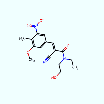 CCN(CCO)C(=O)/C(C#N)=C/c1cc(OC)c(C)c([N+](=O)[O-])c1